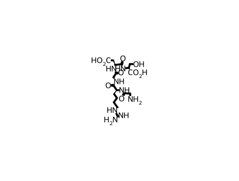 N=C(N)NCCCC[C@H](NC(=O)CN)C(=O)NCC(=O)N[C@@H](CC(=O)O)C(=O)N[C@@H](CO)C(=O)O